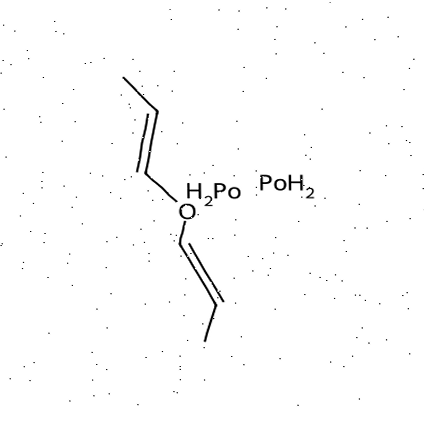 CC=COC=CC.[PoH2].[PoH2]